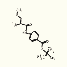 COCC(N)C(=O)Nc1ccc(C(=O)OC(C)(C)C)cc1